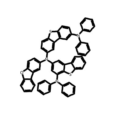 c1ccc(N(c2ccccc2)c2ccc3sc4ccc(N(c5ccc6oc7ccccc7c6c5)c5cc(N(c6ccccc6)c6ccccc6)c6sc7ccccc7c6c5)cc4c3c2)cc1